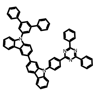 c1ccc(-c2cc(-c3ccccc3)cc(-n3c4ccccc4c4cc(-c5ccc6c7ccccc7n(-c7ccc(-c8nc(-c9ccccc9)nc(-c9ccccc9)n8)cc7)c6c5)ccc43)c2)cc1